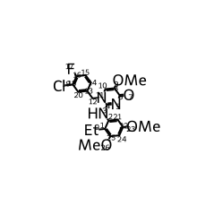 CCc1c(Nc2nc(=O)c(OC)cn2Cc2ccc(F)c(Cl)c2)cc(OC)cc1OC